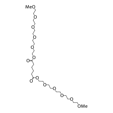 COCCOCCOCCOCCOCCOC(=O)CCCCC(=O)OCCOCCOCCOCCOCCOC